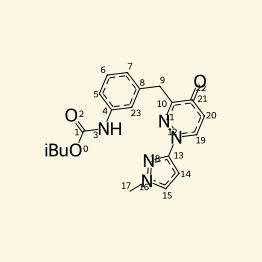 CC(C)COC(=O)Nc1cccc(Cc2nn(-c3ccn(C)n3)ccc2=O)c1